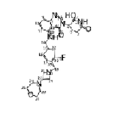 O=C1CCC(n2nnc3cccc(NCc4ccc(CN5CC(N6CCOCC6)C5)c(F)c4)c3c2=O)C(O)N1